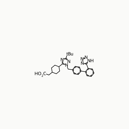 CC(C)(C)c1nc(C2CCC(CC(=O)O)CC2)n(Cc2ccc(-c3ccccc3-c3nnn[nH]3)cc2)n1